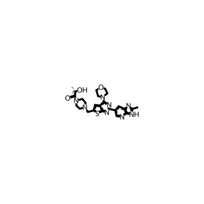 Cc1nc2cc(-c3nc(N4CCOCC4)c4cc(CN5CCN(C(=O)[C@H](C)O)CC5)sc4n3)cnc2[nH]1